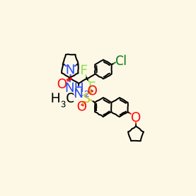 CN(C(C(=O)N1C2CCC1CC(N)C2)C(F)(F)c1ccc(Cl)cc1)S(=O)(=O)c1ccc2cc(OC3CCCC3)ccc2c1